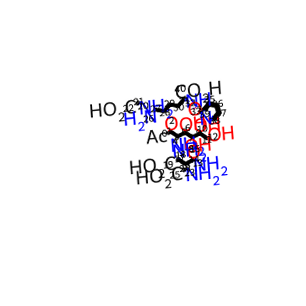 CC(=O)C(=O)[C@H](N)[C@@H](O)[C@H](O)[C@H](O)CO.NC(=O)C[C@H](N)C(=O)O.NCC(=O)O.NCC(=O)O.NCCCC[C@H](NOc1ccccn1)C(=O)O